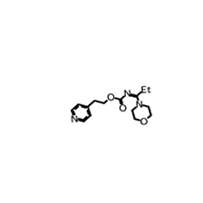 CC/C(=N/C(=O)OCCc1ccncc1)N1CCOCC1